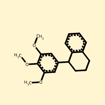 COc1cc(C2CCCc3ccccc32)cc(OC)c1OC